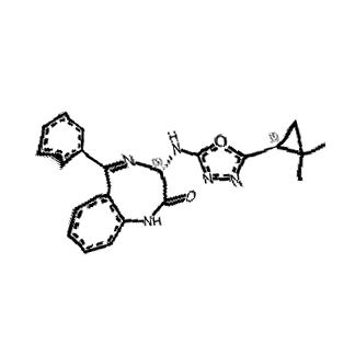 CC1(C)C[C@@H]1c1nnc(N[C@H]2N=C(c3ccccc3)c3ccccc3NC2=O)o1